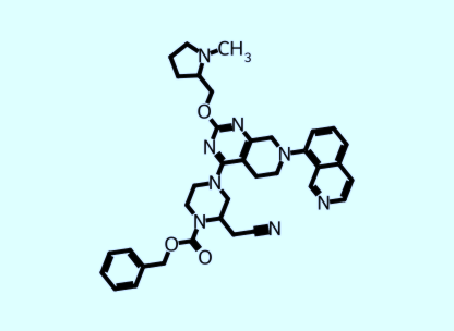 CN1CCCC1COc1nc2c(c(N3CCN(C(=O)OCc4ccccc4)C(CC#N)C3)n1)CCN(c1cccc3ccncc13)C2